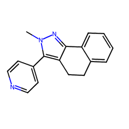 Cn1nc2c(c1-c1ccncc1)CCc1ccccc1-2